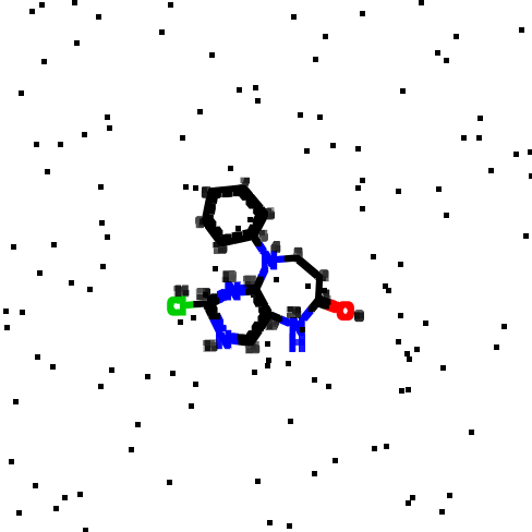 O=C1CCN(c2ccccc2)c2nc(Cl)ncc2N1